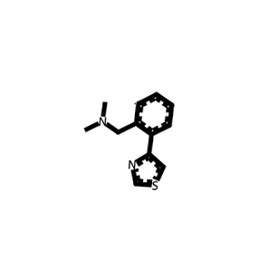 CN(C)Cc1[c]cccc1-c1cscn1